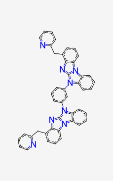 c1ccc(Cc2cccc3c2nc2n(-c4cccc(-n5c6ccccc6n6c7cccc(Cc8ccccn8)c7nc56)c4)c4ccccc4n32)nc1